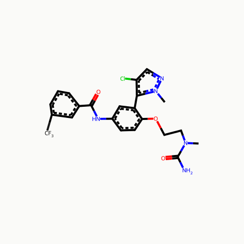 CN(CCOc1ccc(NC(=O)c2cccc(C(F)(F)F)c2)cc1-c1c(Cl)cnn1C)C(N)=O